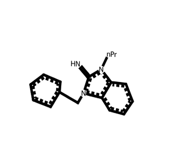 CCCn1c(=N)n(Cc2ccccc2)c2ccccc21